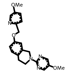 COc1ccc(COc2ccc3c(c2)CN(c2ncc(OC)cn2)CC3)nc1